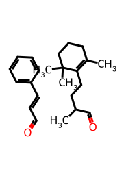 CC1=C(CCC(C)C=O)C(C)(C)CCC1.O=CC=Cc1ccccc1